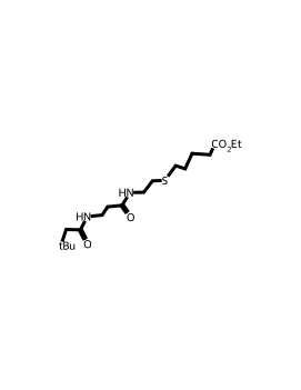 CCOC(=O)CCCCSCCNC(=O)CCNC(=O)CC(C)(C)C